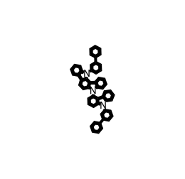 c1ccc(-c2cccc(-n3c4ccccc4c4c(-n5c6ccccc6c6c5ccc5c7ccccc7n(-c7cccc(-c8ccccc8)c7)c56)cccc43)c2)cc1